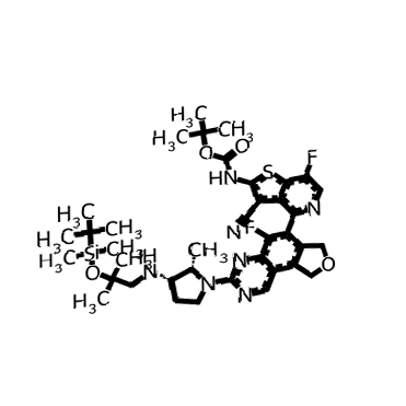 C[C@H]1[C@@H](NCC(C)(C)O[Si](C)(C)C(C)(C)C)CCN1c1ncc2c3c(c(-c4ncc(F)c5sc(NC(=O)OC(C)(C)C)c(C#N)c45)c(F)c2n1)COC3